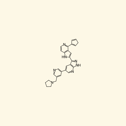 C1=CC(c2nccc3[nH]c(-c4n[nH]c5ncc(-c6cncc(CN7CCCC7)c6)cc45)cc23)=CC1